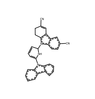 N#CC1=Cc2c(n(C3C=CC=C(n4c5ccccc5c5ccccc54)N3)c3ccc(C#N)cc23)CC1